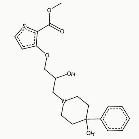 COC(=O)c1sccc1OCC(O)CN1CCC(O)(c2ccccc2)CC1